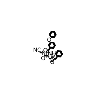 N#CCNC(=O)[C@H](CS(=O)(=O)Cc1ccccc1)NC(=O)c1cccc(Oc2ccccc2)c1